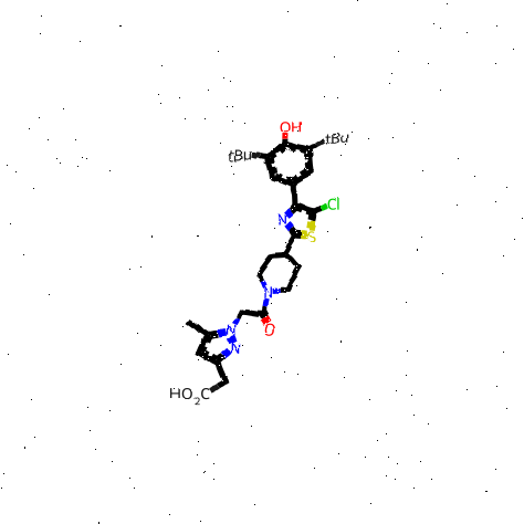 Cc1cc(CC(=O)O)nn1CC(=O)N1CCC(c2nc(-c3cc(C(C)(C)C)c(O)c(C(C)(C)C)c3)c(Cl)s2)CC1